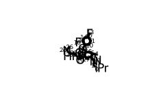 CC(C)Cn1ncc2cc(Oc3ccc(F)cc3F)c(S(=O)(=O)NCCN(C)C)cc21